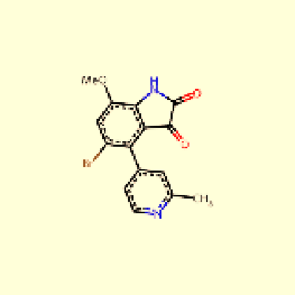 COc1cc(Br)c(-c2ccnc(C)c2)c2c1NC(=O)C2=O